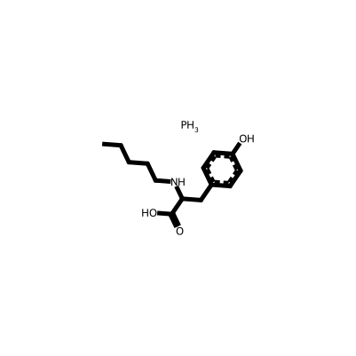 CCCCCNC(Cc1ccc(O)cc1)C(=O)O.P